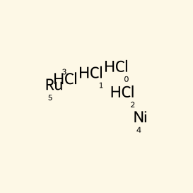 Cl.Cl.Cl.Cl.[Ni].[Ru]